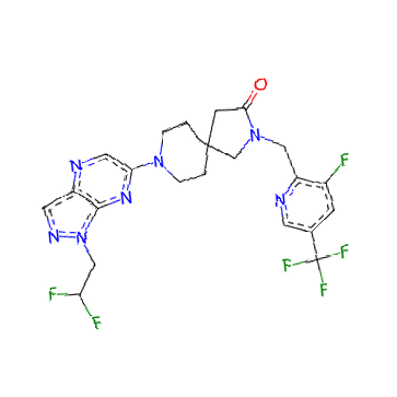 O=C1CC2(CCN(c3cnc4cnn(CC(F)F)c4n3)CC2)CN1Cc1ncc(C(F)(F)F)cc1F